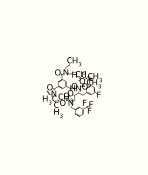 CCCN(CCC)C(=O)c1cc(C(=O)OC(CN(Cc2cccc(C(F)(F)F)c2)C(=O)OC(C)(C)C)C(Cc2cc(F)cc(F)c2)NC(=O)OC(C)(C)C)cc(-c2ncco2)c1